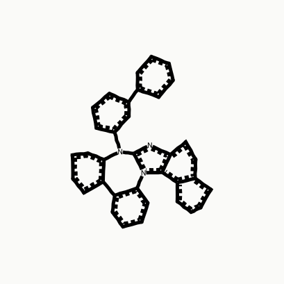 c1ccc(-c2cccc(N3c4ccccc4-c4ccccc4-n4c3nc3ccc5ccccc5c34)c2)cc1